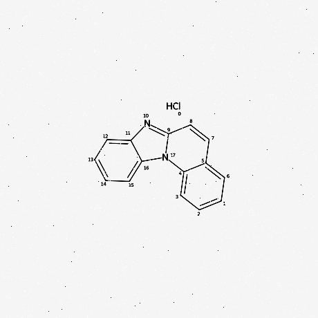 Cl.c1ccc2c(c1)ccc1nc3ccccc3n12